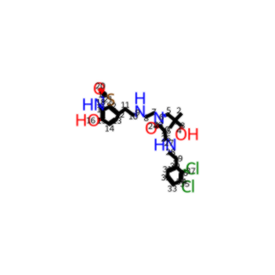 CC(C)(CO)CN(CCNCCc1ccc(O)c2[nH]c(=O)sc12)C(=O)CCNCCc1cccc(Cl)c1Cl